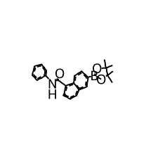 CC1(C)OB(c2ccc3c(C(=O)Nc4ccccc4)cccc3c2)OC1(C)C